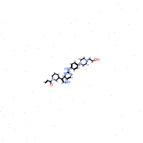 C=CC(=O)N1CCCC(c2c[nH]c3cnc(Nc4ccc(N5CCN(CCO)CC5)cc4)nc23)C1